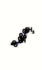 [2H]C(c1ccc(/C=C/C(=O)OC2CCC2)cc1)N(C(=O)C1CCCCC1)c1cccc(/C=C/C(=O)OC)c1